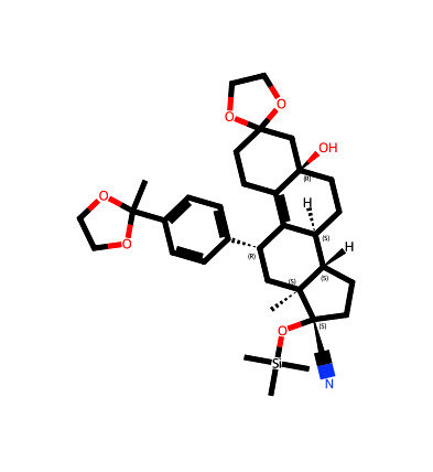 CC1(c2ccc([C@H]3C[C@@]4(C)[C@@H](CC[C@]4(C#N)O[Si](C)(C)C)[C@@H]4CC[C@@]5(O)CC6(CCC5=C43)OCCO6)cc2)OCCO1